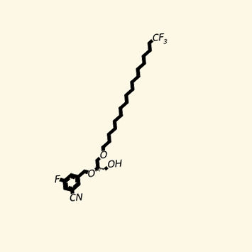 N#Cc1cc(F)cc(CO[C@@H](CO)COCCCCCCCCCCCCCCCCCC(F)(F)F)c1